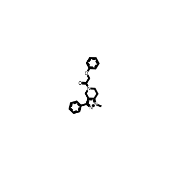 Cn1nc(-c2ccccc2)c2c1CCN(C(=O)COc1ccccc1)C2